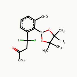 COC(=O)CC(F)(F)c1cccc(C=O)c1B1OC(C)(C)C(C)(C)O1